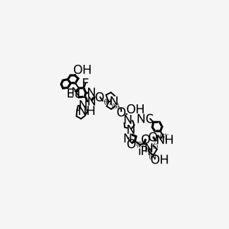 CCc1cccc2cc(O)cc(-c3ncc4c(N5CC6CCC(C5)N6)nc(OC[C@]56CCCN5[C@H](COC(O)N5CCN(c7cc([C@H](C(=O)N8C[C@H](O)C[C@H]8C(=O)N[C@@H](C)c8ccc(C#N)cc8)C(C)C)on7)CC5)CC6)nc4c3F)c12